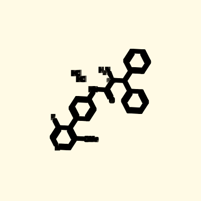 COc1cncc(F)c1-c1ccc(NC(=O)[C@@H](N)C(c2ccccc2)c2ccccc2)cc1.Cl.Cl